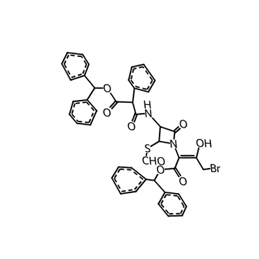 O=CSC1C(NC(=O)C(C(=O)OC(c2ccccc2)c2ccccc2)c2ccccc2)C(=O)N1C(C(=O)OC(c1ccccc1)c1ccccc1)=C(O)CBr